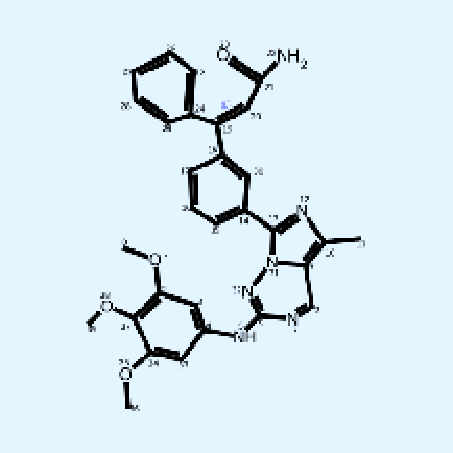 COc1cc(Nc2ncc3c(C)nc(-c4cccc(/C(=C/C(N)=O)c5ccccc5)c4)n3n2)cc(OC)c1OC